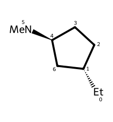 CC[C@H]1CC[C@H](NC)C1